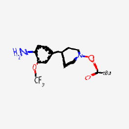 CC(C)(C)C(=O)ON1CCC(c2ccc(N)c(OC(F)(F)F)c2)CC1